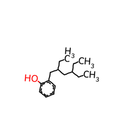 CCC(CC)CC(CC)Cc1ccccc1O